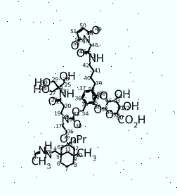 C/C=N\NCC12CCCC(C)(C1)CC(CCC)(OCCN(CCC(=O)NC(CO)(CO)CO)C(=O)OCc1ccc(CCCCNC(=O)CN3C(=O)C=CC3=O)cc1O[C@@H]1O[C@H](C(=O)O)[C@@H](O)[C@H](O)[C@H]1O)C2